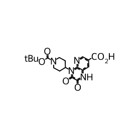 CC(C)(C)OC(=O)N1CCC(n2c(=O)c(=O)[nH]c3cc(C(=O)O)cnc32)CC1